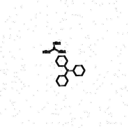 C1CCC(P(C2CCCCC2)C2CCCCC2)CC1.CCCCCCCCP(CCCCCCCC)CCCCCCCC